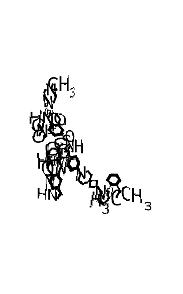 CC(C)c1ccccc1[C@@H]1CCCN1C1CC2(CCN(c3ccc(C(=O)NS(=O)(=O)c4cc5c(c([N+](=O)[O-])c4)N[C@H](CN4CCN(C)CC4)CO5)c(N4c5cc6cc[nH]c6nc5O[C@@H]5COC[C@H]54)c3)CC2)C1